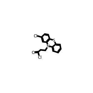 O=C(Cl)CCN1c2ccccc2Sc2ccc(Cl)cc21